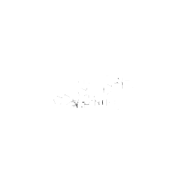 CCC(N)(CC)c1ccc(CC(NC(=O)CC(NS(=O)(=O)c2ccc3ccccc3c2)c2ccc3c(c2)OCO3)C(=O)O)cc1